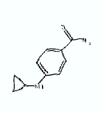 NC(=O)c1ccc(NC2CC2)cc1